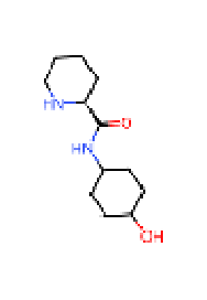 O=C(NC1C[CH]C(O)CC1)[C@@H]1CCCCN1